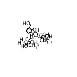 CC(C)(CC[C@H]1[C@H](CC(C)(C)[Si](C)(C)O)C[C@@H]2Oc3c(CO)cccc3[C@H]12)[Si](C)(C)O